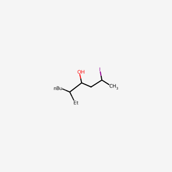 CCCCC(CC)C(O)CC(C)I